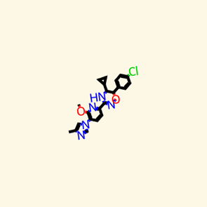 COc1nc(C2=NOC(c3ccc(Cl)cc3)C(C3CC3)N2)ccc1-n1cnc(C)c1